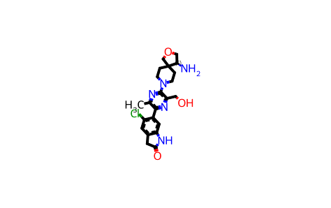 Cc1nc(N2CCC3(CC2)COC[C@H]3N)c(CO)nc1-c1cc2c(cc1Cl)CC(=O)N2